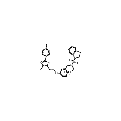 Cc1ccc(-c2nc(CCOc3cccc(CN(CC(=O)O)S(=O)(=O)N4CCc5ccccc54)c3)c(C)o2)cc1